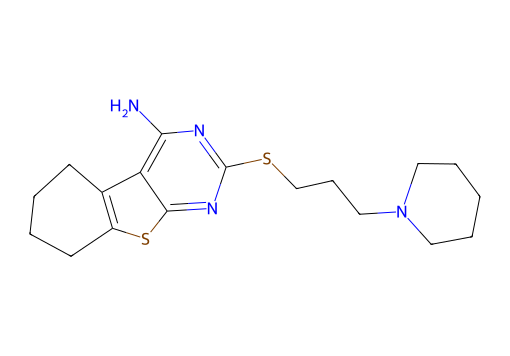 Nc1nc(SCCCN2CCCCC2)nc2sc3c(c12)CCCC3